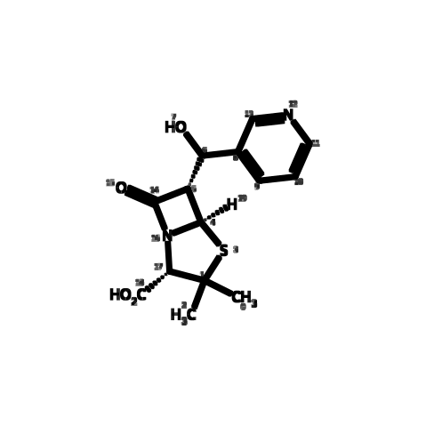 CC1(C)S[C@@H]2[C@@H](C(O)c3cccnc3)C(=O)N2[C@H]1C(=O)O